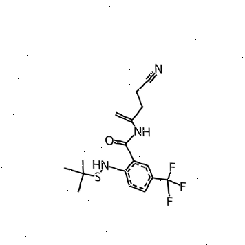 C=C(CCC#N)NC(=O)c1cc(C(F)(F)F)ccc1NSC(C)(C)C